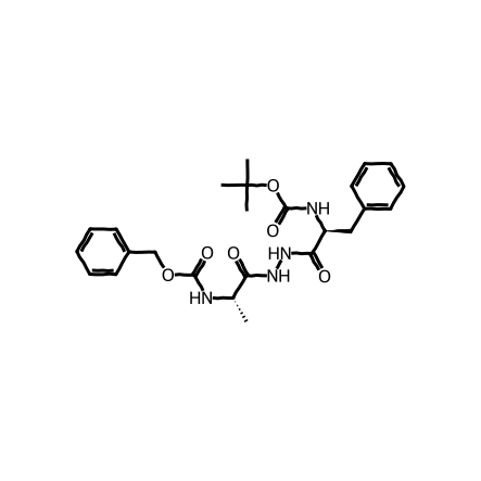 C[C@H](NC(=O)OCc1ccccc1)C(=O)NNC(=O)[C@H](Cc1ccccc1)NC(=O)OC(C)(C)C